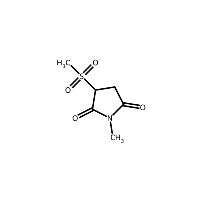 CN1C(=O)CC(S(C)(=O)=O)C1=O